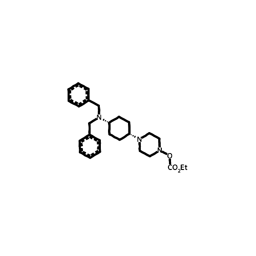 CCOC(=O)ON1CCN([C@H]2CC[C@@H](N(Cc3ccccc3)Cc3ccccc3)CC2)CC1